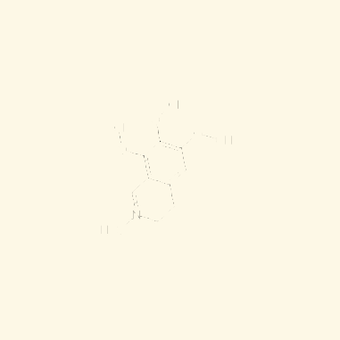 COc1cc2c(c(OC)c1OC)C=[N+](C)CC2.[I-]